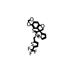 FC(F)(F)c1ccc(CN2C(=S)C3(COc4cc5c(cc43)OCO5)c3cccn32)s1